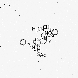 CC(=O)SCCN(CCc1ccccc1)C(=O)N[C@@H](Cc1ccc(-c2ccccc2)c([N+](=O)[O-])c1)C(=O)NCCN(C)C